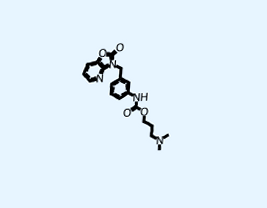 CN(C)CCCOC(=O)Nc1cccc(Cn2c(=O)oc3cccnc32)c1